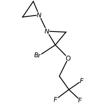 FC(F)(F)COC1(Br)CN1N1CC1